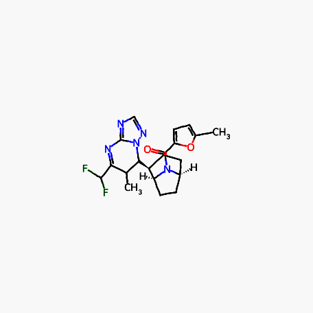 Cc1ccc(C(=O)N2[C@H]3CC[C@H](C4C(C)C(C(F)F)=Nc5ncnn54)[C@@H]2CC3)o1